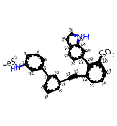 CSNc1cccc(-c2cccc(C#Cc3cccc(C(=O)O)c3-c3ccc4cc[nH]c4c3)c2)c1